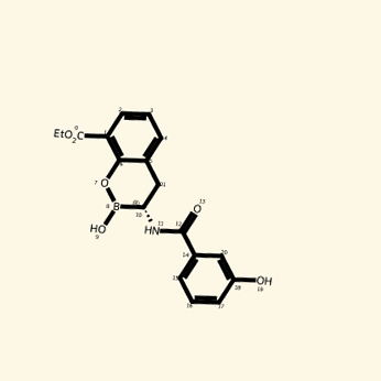 CCOC(=O)c1cccc2c1OB(O)[C@@H](NC(=O)c1cccc(O)c1)C2